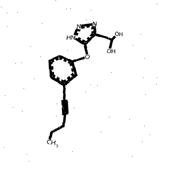 CCCC#Cc1cccc(Oc2[nH]nnc2C(O)O)c1